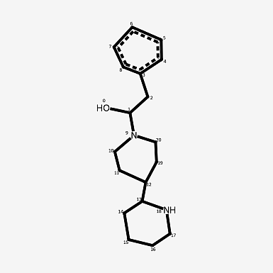 OC(Cc1ccccc1)N1CCC(C2CCCCN2)CC1